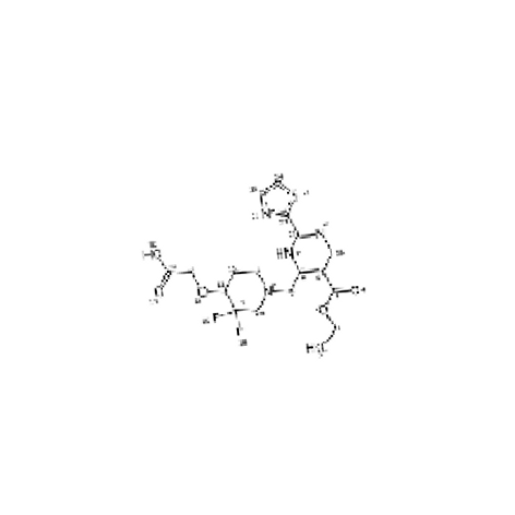 CCOC(=O)C1=C(CN2CCC(OCC(=O)O)C(F)(F)C2)NC(c2nccs2)=NC1